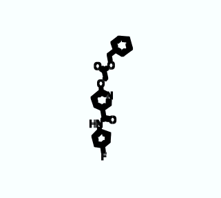 O=C(COc1ccc(C(=O)Nc2ccc(F)cc2)cn1)OCc1ccccc1